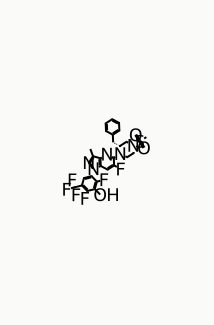 Cc1nn(-c2cc(C(F)(F)F)c(F)c(O)c2F)c2cc(F)c(N3CCN(S(C)(=O)=O)C[C@H]3Cc3ccccc3)nc12